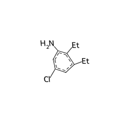 CCc1cc(Cl)cc(N)c1CC